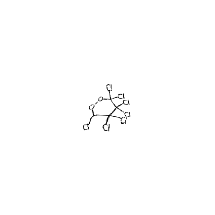 ClC1OOC(Cl)(Cl)C(Cl)(Cl)C1(Cl)Cl